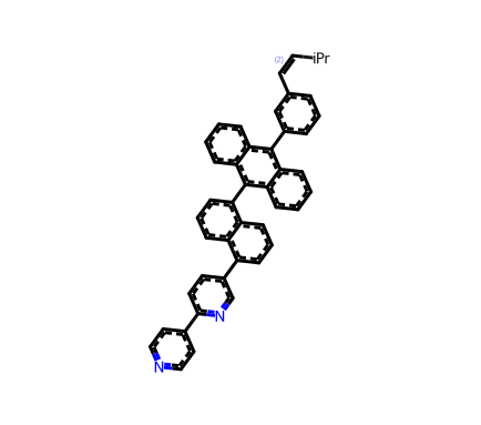 CC(C)/C=C\c1cccc(-c2c3ccccc3c(-c3cccc4c(-c5ccc(-c6ccncc6)nc5)cccc34)c3ccccc23)c1